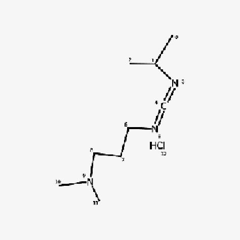 CC(C)N=C=NCCCN(C)C.Cl